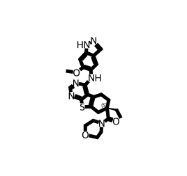 CC[C@]1(C(=O)N2CCOCC2)CCc2c(sc3ncnc(Nc4cc5cn[nH]c5cc4OC)c23)C1